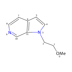 COCCn1ccc2ccncc21